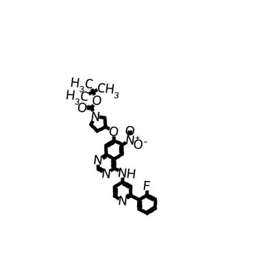 CC(C)(C)OC(=O)N1CCC(Oc2cc3ncnc(Nc4ccnc(-c5ccccc5F)c4)c3cc2[N+](=O)[O-])C1